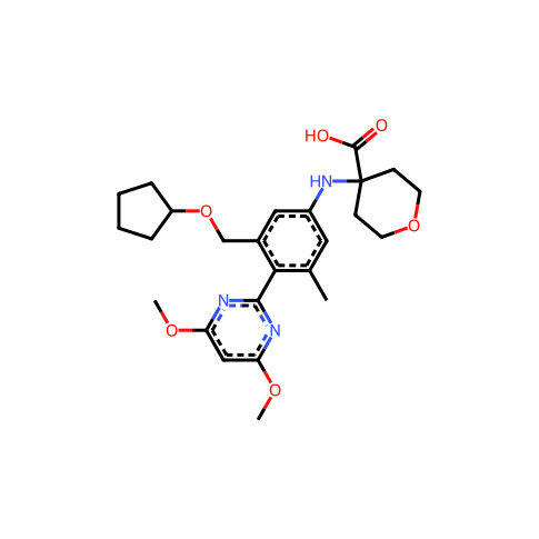 COc1cc(OC)nc(-c2c(C)cc(NC3(C(=O)O)CCOCC3)cc2COC2CCCC2)n1